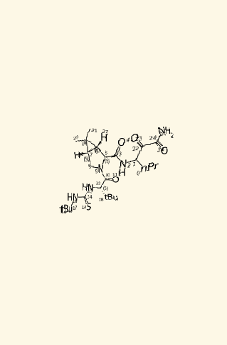 CCCC(NC(=O)[C@@H]1[C@@H]2[C@H](CN1C(=O)[C@@H](NC(=S)NC(C)(C)C)C(C)(C)C)C2(C)C)C(=O)C(N)=O